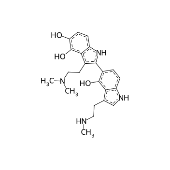 CNCCc1c[nH]c2ccc(-c3[nH]c4ccc(O)c(O)c4c3CCN(C)C)c(O)c12